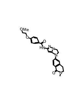 COCCOc1ccc(C(=O)Nc2cc3n(n2)CCN3c2ccc3c(c2)CCN(C)C3=O)cc1